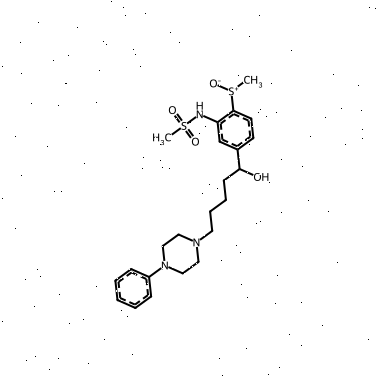 C[S+]([O-])c1ccc(C(O)CCCCN2CCN(c3ccccc3)CC2)cc1NS(C)(=O)=O